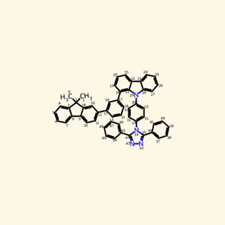 CC1(C)c2ccccc2-c2ccc(-c3cccc(-c4cccc5c6ccccc6n(-c6ccc(-n7c(-c8ccccc8)nnc7-c7ccccc7)cc6)c45)c3)cc21